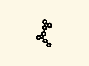 C1=CC2C3CC(c4ccc5c6c(c7c(c5c4)C=CCC7)CCC=C6)CCC3N(c3ccc(-c4ccccc4)cc3)C2C=C1